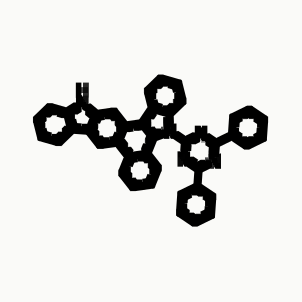 c1ccc(-c2nc(-c3ccccc3)nc(-n3c4ccccc4c4c5cc6[nH]c7ccccc7c6cc5c5ccccc5c43)n2)cc1